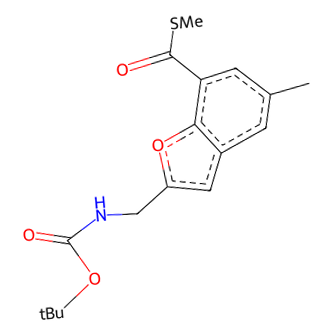 CSC(=O)c1cc(C)cc2cc(CNC(=O)OC(C)(C)C)oc12